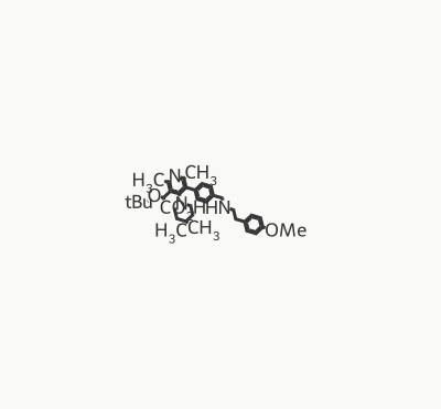 COc1ccc(CCNCc2ccc(-c3c(C)nc(C)c(C(OC(C)(C)C)C(=O)O)c3N3CCC(C)(C)CC3)cc2)cc1